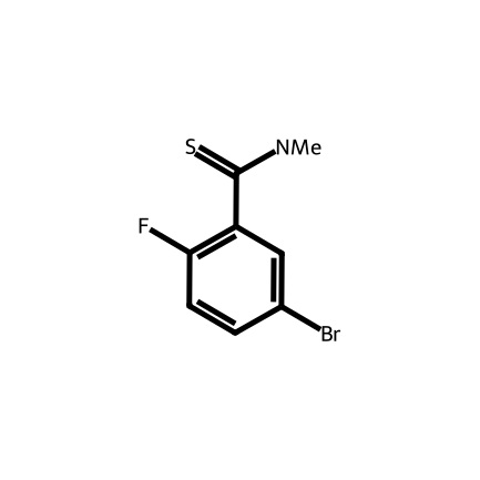 CNC(=S)c1cc(Br)ccc1F